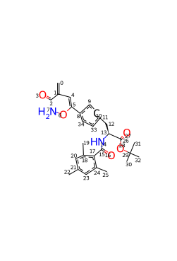 C=C(C=O)/C=C(\ON)c1ccc(C[C@H](NC(=O)c2c(C)cc(C)cc2C)C(=O)OC(C)(C)C)cc1